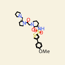 COc1ccc(-c2csc(S(=O)(=O)N[C@H]3CCCN(CC(=O)N4CCC[C@H]4CN4CCCC4)C3=O)c2)cc1